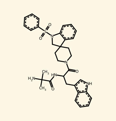 CC(C)(N)C(=O)NC(Cc1c[nH]c2ccccc12)C(=O)N1CCC2(CC1)CN(S(=O)(=O)c1ccccc1)c1ccccc12